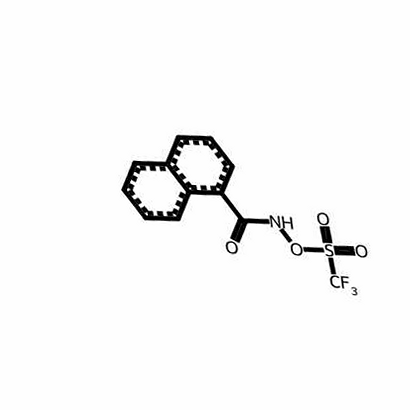 O=C(NOS(=O)(=O)C(F)(F)F)c1cccc2ccccc12